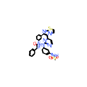 CS(=O)(=O)Nc1cccc(Nc2nccc(-c3c(-c4cccc(NC(=O)Cc5ccccc5)c4)nc4sccn34)n2)c1